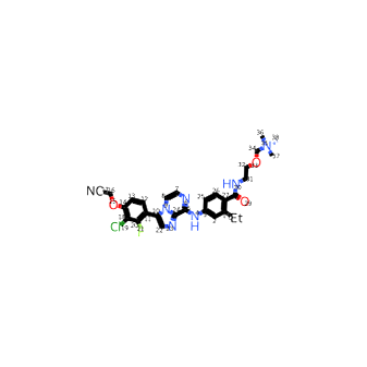 CCc1cc(Nc2nccn3c(-c4ccc(OCC#N)c(Cl)c4F)cnc23)ccc1C(=O)NCCOC[N+](C)(C)C